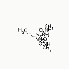 CCCCC1=NN(S(=O)(=O)NC)C(NC(=O)NC)S1